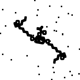 C=C(C)C(=O)OC12CC3CC(OCCCCCCC4(CCCC)CCO4)(CC(OCCCCCCC4(CCCC)CCO4)(C3)C1)C2